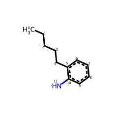 CCCCCc1ccccc1[NH]